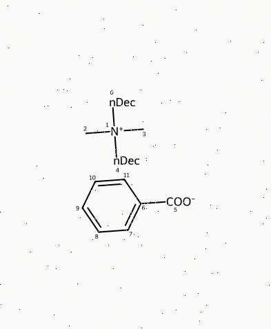 CCCCCCCCCC[N+](C)(C)CCCCCCCCCC.O=C([O-])c1ccccc1